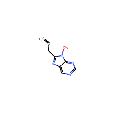 C=CCc1nc2cncnc2n1O